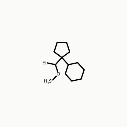 CCC(O[SiH3])C1(C2CCCCC2)CCCC1